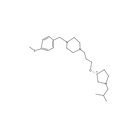 CSc1ccc(CN2CCN(CCCO[C@@H]3CCN(CC(C)C)C3)CC2)cc1